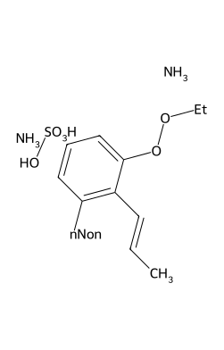 CC=Cc1c(CCCCCCCCC)cccc1OOCC.N.N.O=S(=O)(O)O